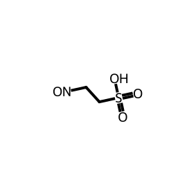 O=NCCS(=O)(=O)O